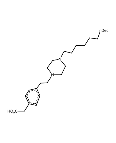 CCCCCCCCCCCCCCCCN1CCN(CCc2ccc(CC(=O)O)cc2)CC1